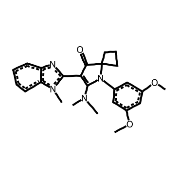 COc1cc(OC)cc(N2C(N(C)C)=C(c3nc4ccccc4n3C)C(=O)C23CCC3)c1